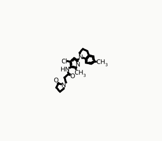 Cc1ccc2c(c1)CCCN2c1cc(Cl)c(NC(=O)CCN2CCCC2=O)c(C)n1